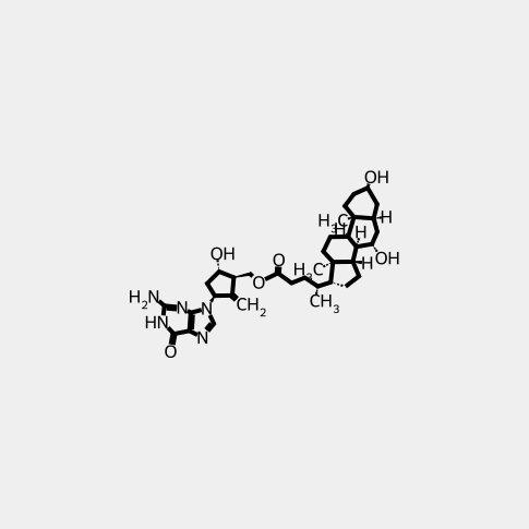 C=C1[C@H](COC(=O)CC[C@@H](C)[C@H]2CC[C@H]3[C@@H]4[C@@H](O)C[C@@H]5C[C@H](O)CC[C@]5(C)[C@H]4CC[C@]23C)[C@@H](O)C[C@@H]1n1cnc2c(=O)[nH]c(N)nc21